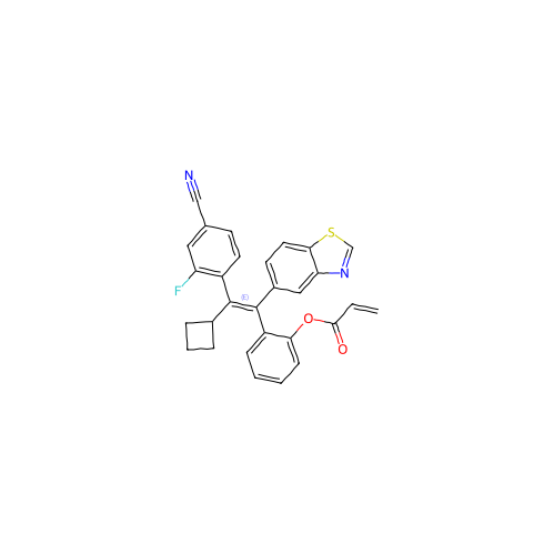 C=CC(=O)Oc1ccccc1/C(=C(/c1ccc(C#N)cc1F)C1CCC1)c1ccc2scnc2c1